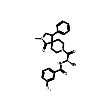 CC(C)[C@@H](NC(=O)c1cccc(C(F)(F)F)c1)C(=O)N1CCC2(CC1)C(=O)N(C)CC2c1ccccc1